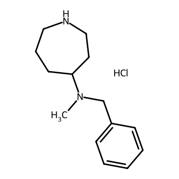 CN(Cc1ccccc1)C1CCCNCC1.Cl